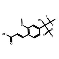 COc1cc(C(O)(C(F)(F)F)C(F)(F)F)ccc1C=CC(=O)O